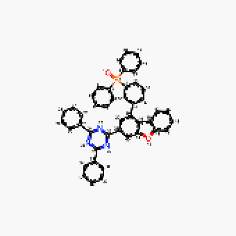 O=P(c1ccccc1)(c1ccccc1)c1cccc(-c2cc(-c3nc(-c4ccccc4)nc(-c4ccccc4)n3)cc3oc4ccccc4c23)c1